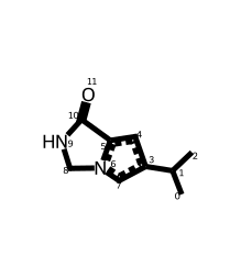 CC(C)c1cc2n(c1)CNC2=O